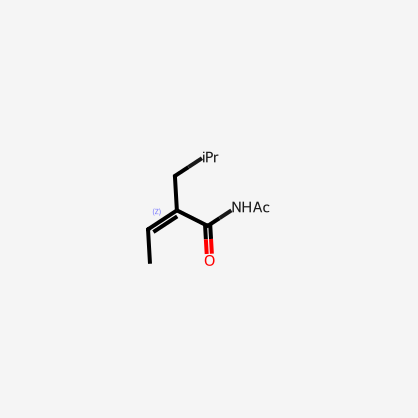 C/C=C(/CC(C)C)C(=O)NC(C)=O